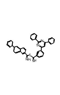 N=C(SC(=N)c1ccc2cc(-c3ccccc3)ccc2c1)c1cccc(-c2cc(-c3ccccc3)nc(-c3ccccc3)n2)c1